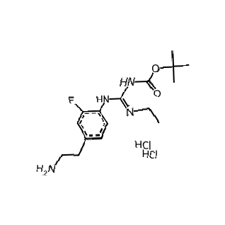 CCN=C(NC(=O)OC(C)(C)C)Nc1ccc(CCN)cc1F.Cl.Cl